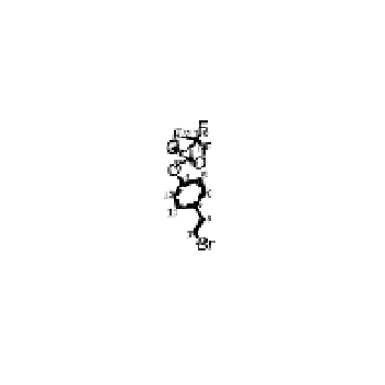 O=S(=O)(Oc1ccc(C=CBr)cc1)C(F)(F)F